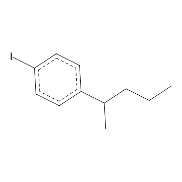 CCCC(C)c1ccc(I)cc1